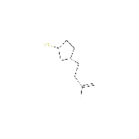 C=C(C)CCC1CCC(S)C1